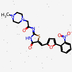 CN1CCN(CC(=O)/N=C2\NC(=O)/C(=C/c3ccc(-c4ccccc4[N+](=O)[O-])o3)S2)CC1